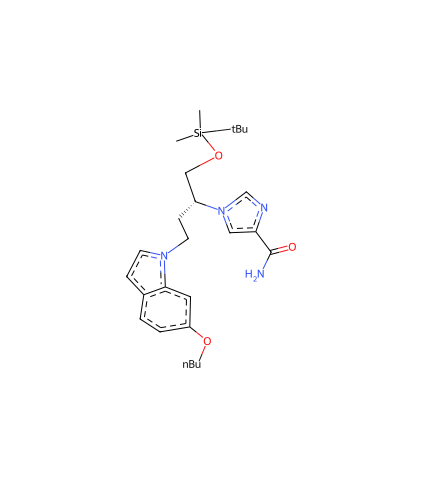 CCCCOc1ccc2ccn(CC[C@H](CO[Si](C)(C)C(C)(C)C)n3cnc(C(N)=O)c3)c2c1